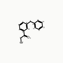 O=C(CBr)c1cccc(Cc2ccccc2)c1